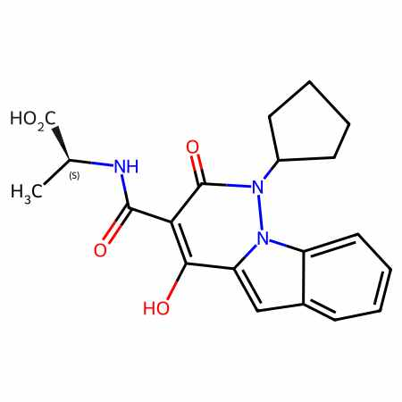 C[C@H](NC(=O)c1c(O)c2cc3ccccc3n2n(C2CCCC2)c1=O)C(=O)O